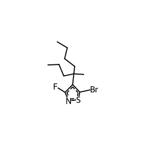 CCCCC(C)(CCC)c1c(F)nsc1Br